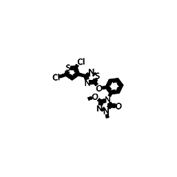 COc1nn(C)c(=O)n1-c1ccccc1Oc1nc(-c2cc(Cl)sc2Cl)ns1